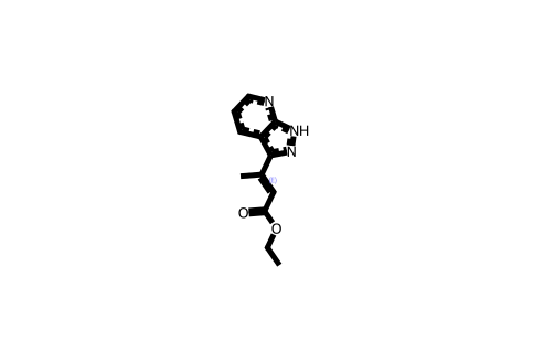 CCOC(=O)/C=C(\C)c1n[nH]c2ncccc12